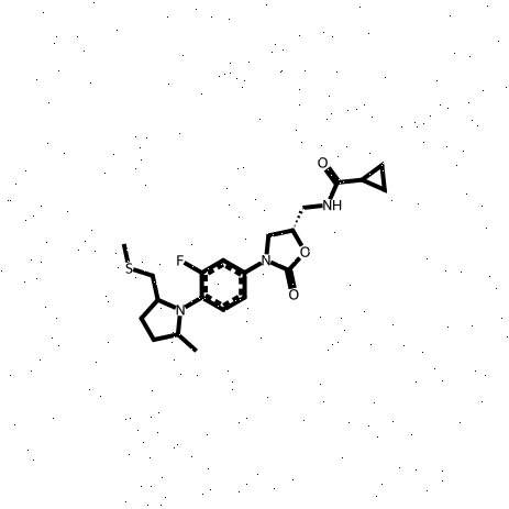 CSCC1CCC(C)N1c1ccc(N2C[C@H](CNC(=O)C3CC3)OC2=O)cc1F